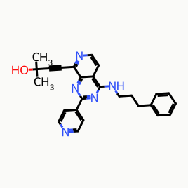 CC(C)(O)C#Cc1nccc2c(NCCCc3ccccc3)nc(-c3ccncc3)nc12